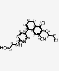 N#Cc1cc2c(c(Cl)c1OCCCl)CCC=C2c1cnc(NCCO)nc1